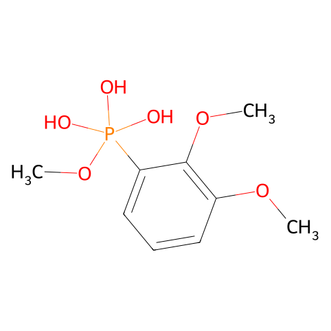 COc1cccc(P(O)(O)(O)OC)c1OC